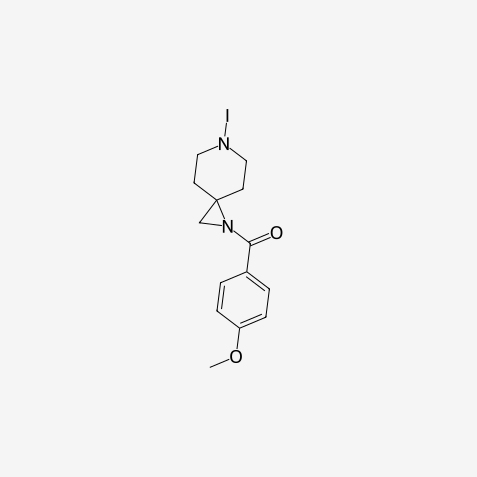 COc1ccc(C(=O)N2CC23CCN(I)CC3)cc1